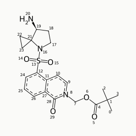 CC(C)(C)C(=O)OCn1ccc2c(S(=O)(=O)N3CC[C@H](N)C34CC4)cccc2c1=O